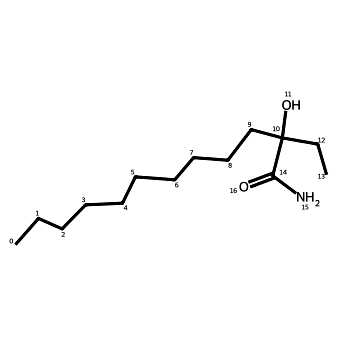 CCCCCCCCCCC(O)(CC)C(N)=O